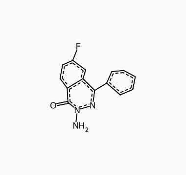 Nn1nc(-c2ccccc2)c2cc(F)ccc2c1=O